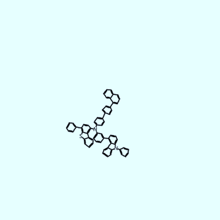 c1ccc(-c2ccc(N(c3ccc(-c4ccc(-c5cccc6ccccc56)cc4)cc3)c3cccc(-c4cccc5c4c4ccccc4n5-c4ccccc4)c3)c3c2sc2ccccc23)cc1